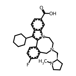 CN1CCC[C@@H]1CN1CCn2c(c(C3CCCCC3)c3ccc(C(=O)O)cc32)-c2ccc(F)cc2C1